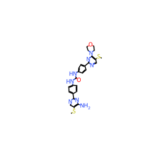 CSc1cnc(-c2ccc(NC(=O)Nc3ccc(-c4ncc(SC)c(N5CCOCC5)n4)cc3)cc2)nc1N